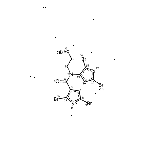 CCCCCCCCCCCCN(C(=O)c1cc(Br)sc1Br)c1cc(Br)sc1Br